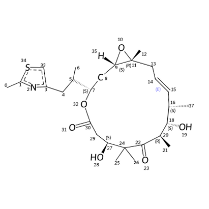 Cc1nc(CC(C)[C@@H]2C[C@@H]3O[C@]3(C)C/C=C/[C@H](C)[C@H](O)[C@@H](C)C(=O)C(C)(C)[C@@H](O)CC(=O)O2)cs1